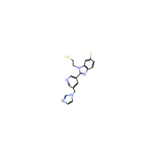 Fc1ccc2nc(-c3cncc(Cn4ccnc4)c3)n(CC[18F])c2c1